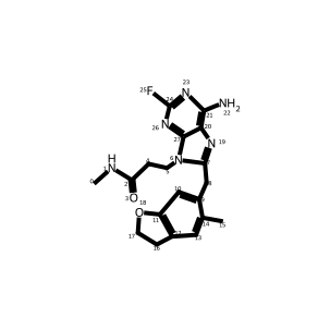 CNC(=O)CCn1c(Cc2cc3c(cc2C)CCO3)nc2c(N)nc(F)nc21